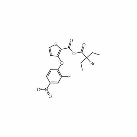 CCC(Br)(CC)C(=O)OC(=O)c1sccc1Oc1ccc([N+](=O)[O-])cc1F